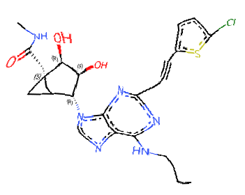 CCCNc1nc(C#Cc2ccc(Cl)s2)nc2c1ncn2[C@@H]1C2C[C@@]2(C(=O)NC)[C@@H](O)[C@H]1O